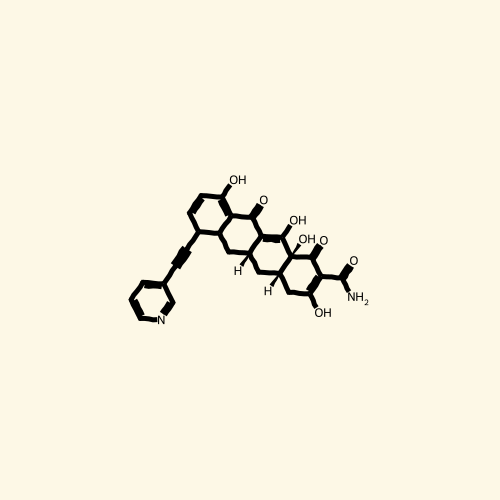 NC(=O)C1=C(O)C[C@@H]2C[C@@H]3CC4C(=C(O)C=CC4C#Cc4cccnc4)C(=O)C3=C(O)[C@]2(O)C1=O